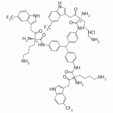 Cl.NCCCC[C@](N)(C(=O)Cc1c[nH]c2ccc(C(F)(F)F)cc12)C(=O)Nc1ccc(C(c2ccc(NC(=O)[C@](N)(CCCCN)C(=O)Cc3c[nH]c4ccc(C(F)(F)F)cc34)cc2)c2ccc(NC(=O)[C@](N)(CCCCN)C(=O)Cc3c[nH]c4ccc(C(F)(F)F)cc34)cc2)cc1